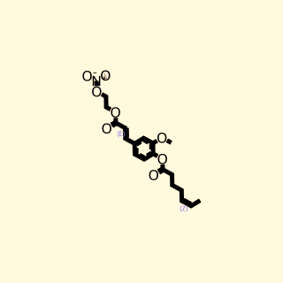 C/C=C\CCCC(=O)Oc1ccc(/C=C/C(=O)OCCO[N+](=O)[O-])cc1OC